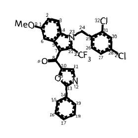 COc1ccc2c(c1)c(C(=O)c1cnc(-c3ccccc3)o1)c(C(F)(F)F)n2Cc1ccc(Cl)cc1Cl